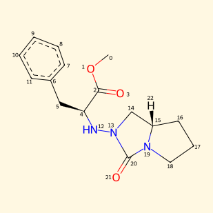 COC(=O)[C@H](Cc1ccccc1)NN1C[C@@H]2CCCN2C1=O